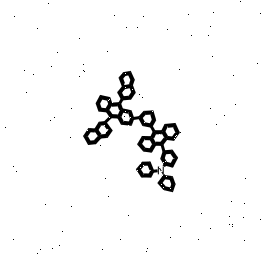 c1ccc(N(c2ccccc2)c2cccc(-c3c4ccccc4c(-c4cccc(-c5ccc6c(-c7ccc8ccccc8c7)c7ccccc7c(-c7ccc8ccccc8c7)c6c5)c4)c4ccccc34)c2)cc1